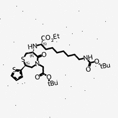 CCOC(=O)[C@H](CCCCCCCNC(=O)OC(C)(C)C)N[C@H]1CS[C@H](c2cccs2)CN(CC(=O)OC(C)(C)C)C1=O